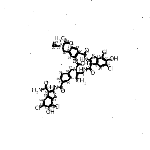 CCC(CNC(=O)c1c(NC(=O)c2ccc(CN(C(C)=O)C3CC3)cc2)sc2c(Cl)c(O)c(Cl)cc12)N(Cc1ccc(C(=O)Nc2sc3c(Cl)c(O)c(Cl)cc3c2C(N)=O)cc1)C(C)=O